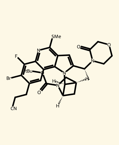 CSc1nc2c(F)c(Br)c(CCC#N)cc2c2c1cc([C@@H](C)N1CCOCC1=O)n2[C@H]1[C@@H]2C[C@H]1N(C(=O)OC(C)(C)C)C2